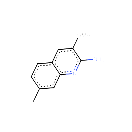 COc1cc2ccc(C)cc2nc1N